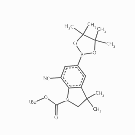 CC(C)(C)OC(=O)N1CC(C)(C)c2cc(B3OC(C)(C)C(C)(C)O3)cc(C#N)c21